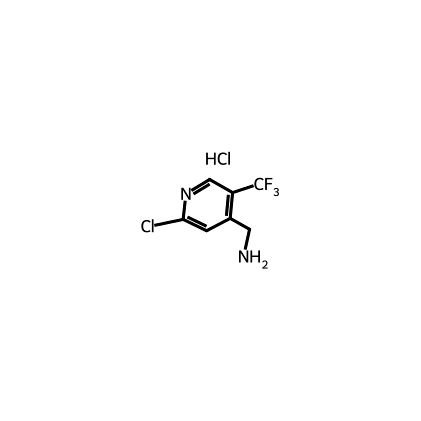 Cl.NCc1cc(Cl)ncc1C(F)(F)F